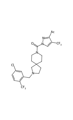 CC(=O)c1nn(C(=O)N2CCC3(CCN(Cc4cc(Cl)ccc4C(F)(F)F)C3)CC2)cc1C(F)(F)F